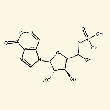 O=c1[nH]ccc2c1ncn2[C@@H]1O[C@H](C(O)OP(=O)(O)O)[C@@H](O)[C@@H]1O